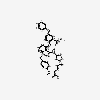 COc1ccc(Cn2nc(NC3CCN(C(=O)C=CCN(C)C)C3)c3c(Oc4ccc(Oc5ccccc5)cc4C(N)=O)ccnc32)cc1